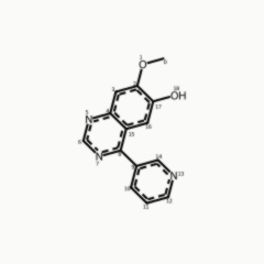 COc1cc2ncnc(-c3cccnc3)c2cc1O